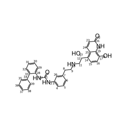 O=C(Nc1cccc(CCNC[C@H](O)c2ccc(O)c3[nH]c(=O)ccc23)c1)Nc1ccccc1-c1ccccc1